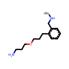 CCCCNCc1ccccc1CCCOCCCN